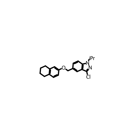 CC(C)n1nc(Cl)c2cc(COc3ccc4c(c3)CCCC4)ccc21